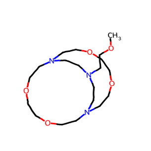 COCCN1CCN2CCOCCOCCN(CCOCCOCC2)CC1